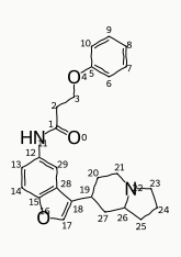 O=C(CCOc1ccccc1)Nc1ccc2occ(C3CCN4CCCC4C3)c2c1